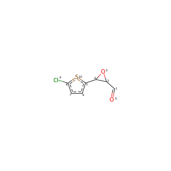 O=CC1OC1c1ccc(Cl)s1